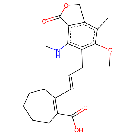 CNc1c(CC=CC2=C(C(=O)O)CCCCC2)c(OC)c(C)c2c1C(=O)OC2